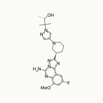 COc1cc(F)cc2c1nc(N)n1nc([C@@H]3CCCN(c4cnn(C(C)(C)[C@H](C)O)c4)C3)nc21